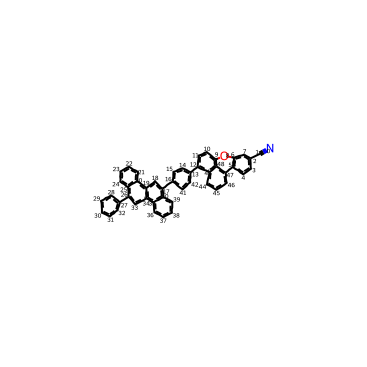 N#Cc1ccc2c(c1)Oc1ccc(-c3ccc(-c4cc5c6ccccc6c(-c6ccccc6)cc5c5ccccc45)cc3)c3cccc-2c13